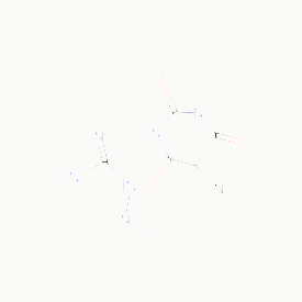 N=C(N)NN.O=C1NC(=O)C([N+](=O)[O-])C(=O)N1